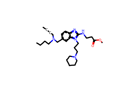 CCCCN(CCCC)Cc1ccc2nc(NCCC(=O)OC)n(CCCN3CCCCC3)c2c1